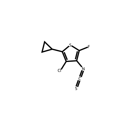 Fc1sc(C2CC2)c(Cl)c1N=C=S